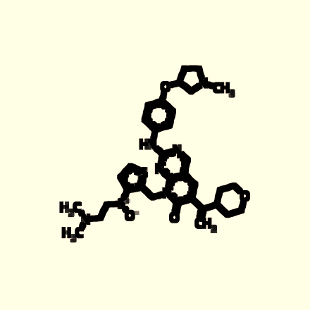 C=C(c1cc2cnc(Nc3ccc(OC4CCN(C)C4)cc3)nc2n(Cc2sccc2[S+]([O-])CCN(C)C)c1=O)C1CCOCC1